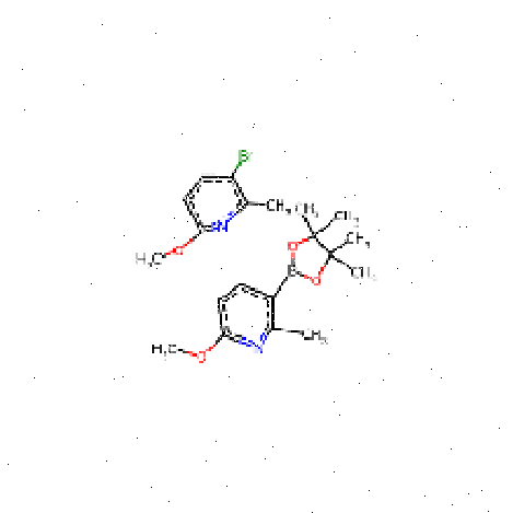 COc1ccc(B2OC(C)(C)C(C)(C)O2)c(C)n1.COc1ccc(Br)c(C)n1